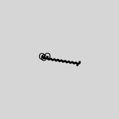 CCC(C)CCCCCCCCCCCCCCCCC(=O)C=C=O